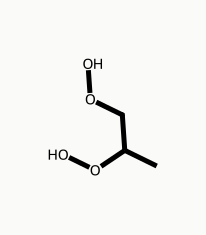 CC(COO)OO